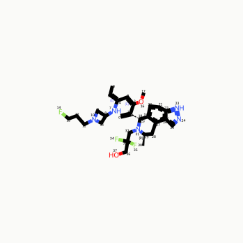 C=C(/C(=C\C(=C/C)NC1CN(CCCF)C1)OC)[C@@H]1c2ccc3[nH]ncc3c2C[C@@H](C)N1CC(F)(F)CO